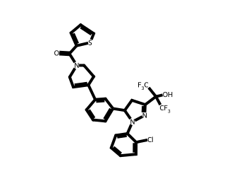 O=C(c1cccs1)N1CC=C(c2cccc(C3CC(C(O)(C(F)(F)F)C(F)(F)F)=NN3c3ccccc3Cl)c2)CC1